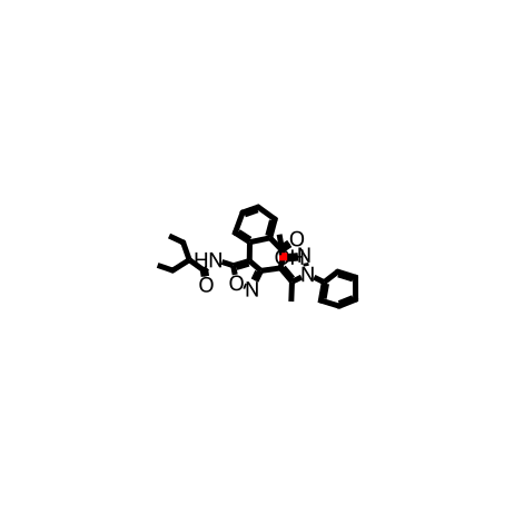 CCC(CC)C(=O)Nc1onc(-c2c(C)nn(-c3ccccc3)c2C)c1-c1ccccc1C(=O)O